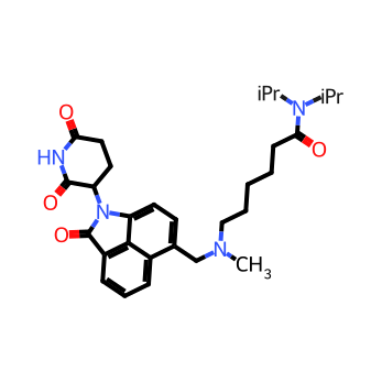 CC(C)N(C(=O)CCCCCN(C)Cc1ccc2c3c(cccc13)C(=O)N2C1CCC(=O)NC1=O)C(C)C